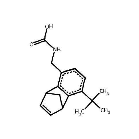 CC(C)(C)c1ccc(CNC(=O)O)c2c1C1C=CC2C1